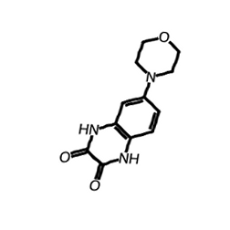 O=c1[nH]c2ccc(N3CCOCC3)cc2[nH]c1=O